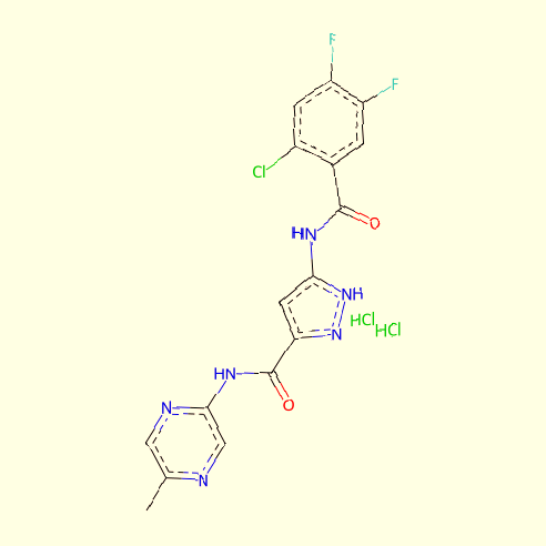 Cc1cnc(NC(=O)c2cc(NC(=O)c3cc(F)c(F)cc3Cl)[nH]n2)cn1.Cl.Cl